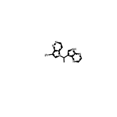 CC(C)c1cn(C(C)c2c[nH]c3nccnc23)c2ccnnc12